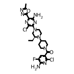 CC[C@H]1CN(c2nc(N)c(-c3nnc(C)o3)nc2Cl)CCN1C1CCN(C(=O)c2cc(F)c(N)nc2Cl)CC1